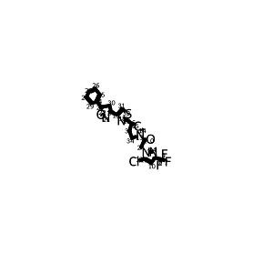 O=C(Cn1nc(C(F)(F)F)cc1Cl)N1CCC(c2nc(C3=NOC(c4ccccc4)C3)cs2)CC1